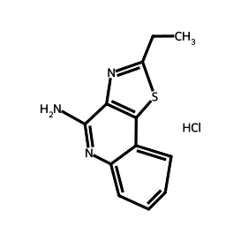 CCc1nc2c(N)nc3ccccc3c2s1.Cl